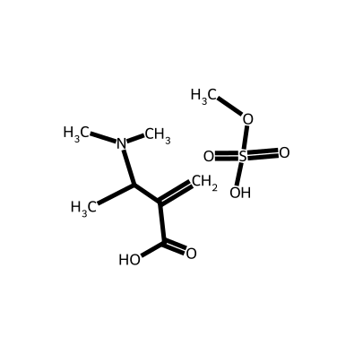 C=C(C(=O)O)C(C)N(C)C.COS(=O)(=O)O